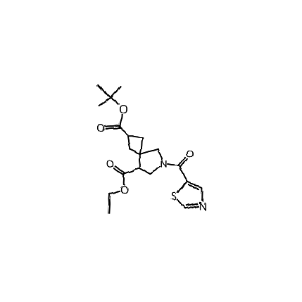 CCOC(=O)C1CN(C(=O)c2cncs2)CC12CC(C(=O)OC(C)(C)C)C2